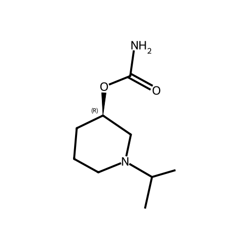 CC(C)N1CCC[C@@H](OC(N)=O)C1